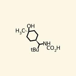 CC(C)(C)C(NC(=O)O)[C@H]1CC[C@@](C)(O)CC1